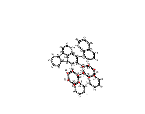 c1ccc(-c2cccc3ccccc23)c(-c2c(-c3ccccc3-c3cccc4ccccc34)c3c4c(cccc4c2-c2cccc4ccccc24)-c2ccccc2-3)c1